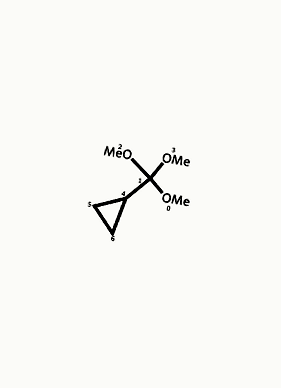 COC(OC)(OC)C1CC1